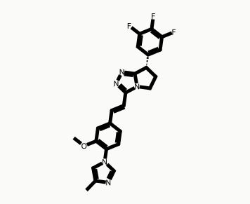 COc1cc(/C=C/c2nnc3n2CC[C@H]3c2cc(F)c(F)c(F)c2)ccc1-n1cnc(C)c1